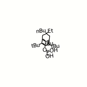 CCCCC1(CC)Cc2c(C(C)(C)C)c(c(C(C)(C)C)c(OP(O)O)c2C(C)(C)C)C1